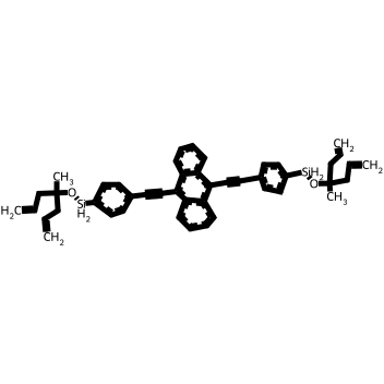 C=CCC(C)(CC=C)O[SiH2]c1ccc(C#Cc2c3ccccc3c(C#Cc3ccc([SiH2]OC(C)(CC=C)CC=C)cc3)c3ccccc23)cc1